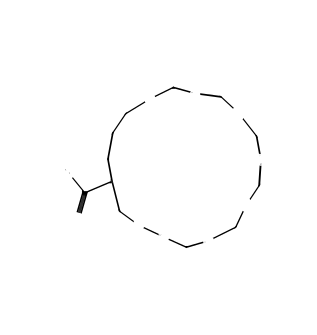 NC(=O)C1CCCCCCCCCCCCCCCCCC1